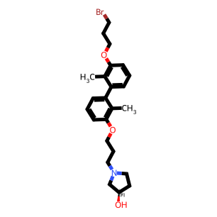 Cc1c(OCCCBr)cccc1-c1cccc(OCCCN2CC[C@@H](O)C2)c1C